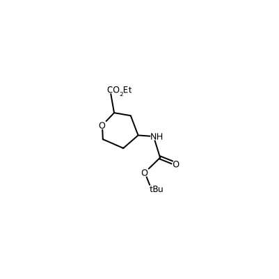 CCOC(=O)C1CC(NC(=O)OC(C)(C)C)CCO1